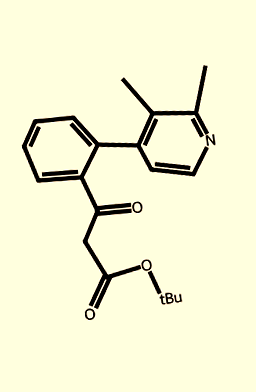 Cc1nccc(-c2ccccc2C(=O)CC(=O)OC(C)(C)C)c1C